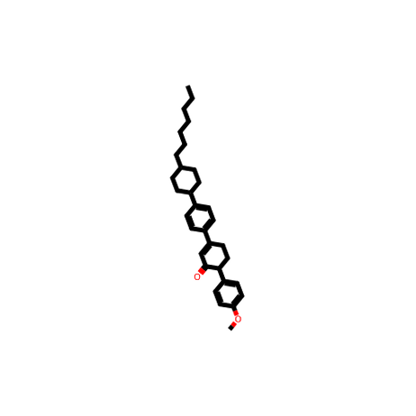 CCCCCCCC1CCC(c2ccc(C3=CC(=O)C(c4ccc(OC)cc4)CC3)cc2)CC1